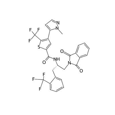 Cn1nccc1-c1cc(C(=O)N[C@@H](Cc2ccccc2C(F)(F)F)CN2C(=O)c3ccccc3C2=O)sc1C(F)(F)F